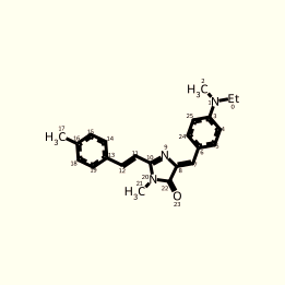 CCN(C)c1ccc(/C=C2N=C(/C=C/c3ccc(C)cc3)N(C)C\2=O)cc1